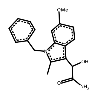 COc1ccc2c(C(O)C(N)=O)c(C)n(Cc3ccccc3)c2c1